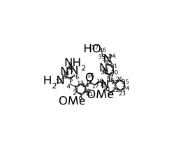 COc1cc(Cc2cnc(N)nc2N)cc(C(=O)/C=C/N2CCc3ccccc3C2c2ccc(N(C)CCO)nc2)c1OC